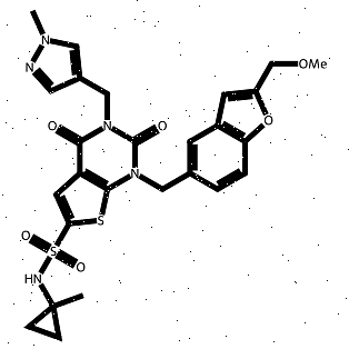 COCc1cc2cc(Cn3c(=O)n(Cc4cnn(C)c4)c(=O)c4cc(S(=O)(=O)NC5(C)CC5)sc43)ccc2o1